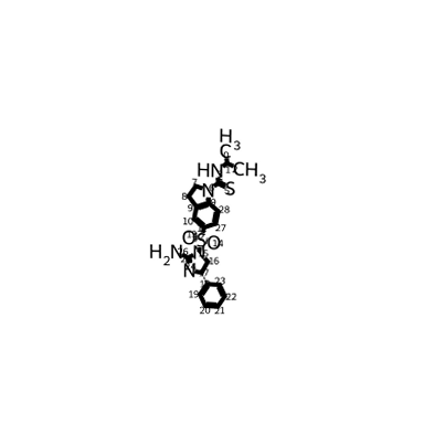 CC(C)NC(=S)N1CCc2cc(S(=O)(=O)N3C[C@H](c4ccccc4)N=C3N)ccc21